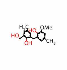 COc1cc(C)cc(Cc2cc(C)cc(CO)c2O)c1O